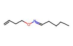 C=CCCO/N=[C]/CCCC